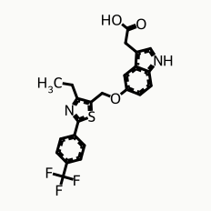 CCc1nc(-c2ccc(C(F)(F)F)cc2)sc1COc1ccc2[nH]cc(CC(=O)O)c2c1